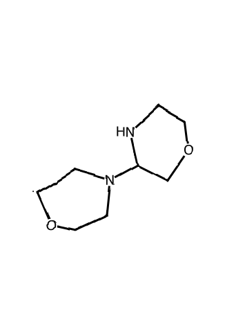 [CH]1CN(C2COCCN2)CCO1